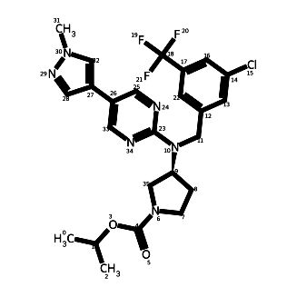 CC(C)OC(=O)N1CC[C@H](N(Cc2cc(Cl)cc(C(F)(F)F)c2)c2ncc(-c3cnn(C)c3)cn2)C1